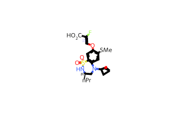 CCC[C@@H]1CN(C23CC(C2)C3)c2cc(SC)c(O/C=C(\F)C(=O)O)cc2S(=O)(=O)N1